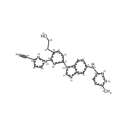 Cc1ccc(Nc2ccc3c(c2)ncn3-c2ccc(CCO)c(-n3ccc(C#N)n3)n2)nn1